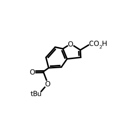 CC(C)(C)OC(=O)c1ccc2oc(C(=O)O)cc2c1